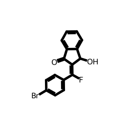 O=C1C(=C(F)c2ccc(Br)cc2)C(O)c2ccccc21